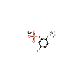 O=C(O)c1ccc(F)cc1.O=S(=O)([O-])[O-].[Na+].[Na+]